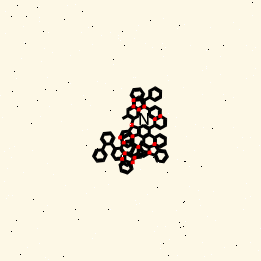 Cc1cc2c(c(-c3c(-c4ccccc4-c4ccccc4-c4ccccc4)ccc4c3-c3c(c(N(c5ccccc5-c5ccccc5-c5ccccc5)c5c(C)c(C)cc6c5Cc5ccccc5-6)c(-c5ccccc5)c(-c5ccccc5)c3-c3c5c(cc(-c6ccccc6)c3-c3ccccc3)-c3ccccc3C5)C4)c1C)Cc1ccccc1-2